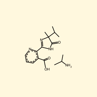 CC(C)C1(C)N=C(c2ncccc2C(=O)O)NC1=O.CC(C)N